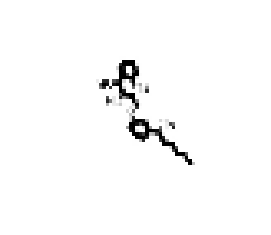 CCCCCC(O)c1cccc(OCC2Nc3ccccc3C(O)C2O)c1